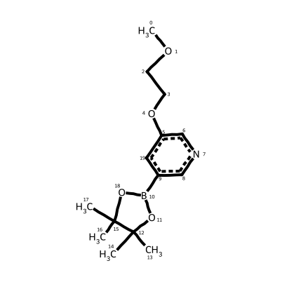 COCCOc1cncc(B2OC(C)(C)C(C)(C)O2)c1